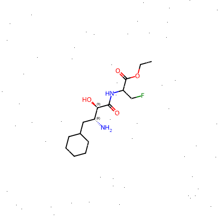 CCOC(=O)C(CF)NC(=O)[C@H](O)[C@H](N)CC1CCCCC1